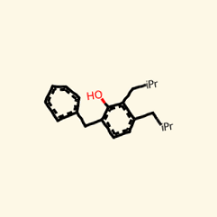 CC(C)Cc1ccc(Cc2ccccc2)c(O)c1CC(C)C